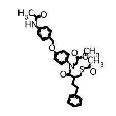 COC(=O)CN(C(=O)C(CCc1ccccc1)CSC(C)=O)c1ccc(OCc2ccc(NC(C)=O)cc2)cc1